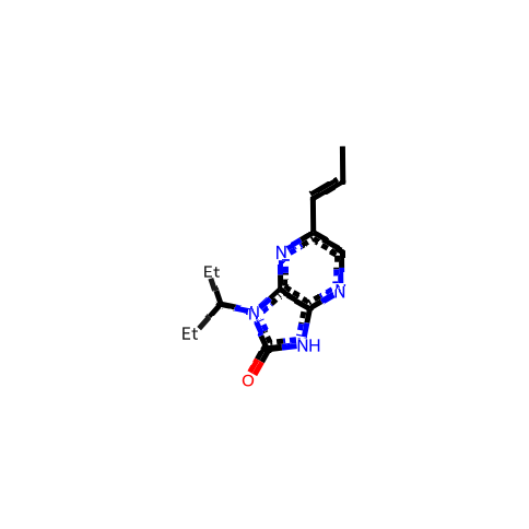 CC=Cc1cnc2[nH]c(=O)n(C(CC)CC)c2n1